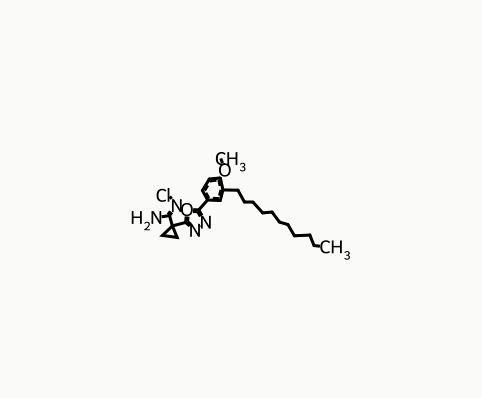 CCCCCCCCCCCc1cc(-c2nnc(C3(C(N)=NCl)CC3)o2)ccc1OC